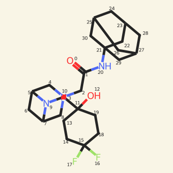 O=C(CN1CC2CC(C1)N2CC1(O)CCC(F)(F)CC1)NC12CC3CC(CC(C3)C1)C2